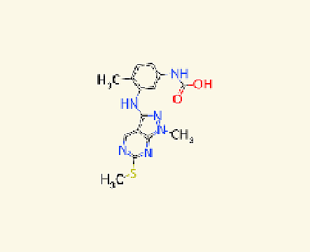 CSc1ncc2c(Nc3cc(NC(=O)O)ccc3C)nn(C)c2n1